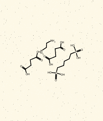 NCCN.O=C(O)CCC(=O)O.O=C(O)CCC(=O)O.O=P(O)(O)CCCCCP(=O)(O)O